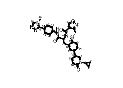 Cc1nocc1C(=O)NC(Cc1cc(-c2ccc(=O)n(C3CC3)c2)ccc1Cl)C(=O)Nc1ccc(-c2nncn2C)cc1